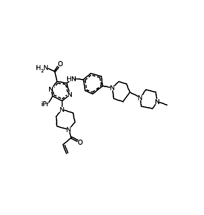 C=CC(=O)N1CCN(c2nc(Nc3ccc(N4CCC(N5CCN(C)CC5)CC4)cc3)c(C(N)=O)nc2C(C)C)CC1